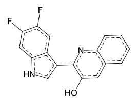 Oc1cc2ccccc2nc1-c1c[nH]c2cc(F)c(F)cc12